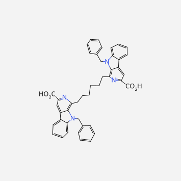 O=C(O)c1cc2c3ccccc3n(Cc3ccccc3)c2c(CCCCCCc2nc(C(=O)O)cc3c4ccccc4n(Cc4ccccc4)c23)n1